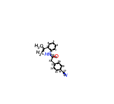 C=C(C)c1ccccc1NC(=O)Cc1ccc(C#N)cc1